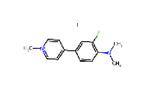 CN(C)c1ccc(-c2cc[n+](C)cc2)cc1F.[I-]